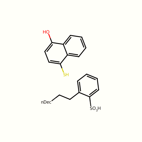 CCCCCCCCCCCCc1ccccc1S(=O)(=O)O.Oc1ccc(S)c2ccccc12